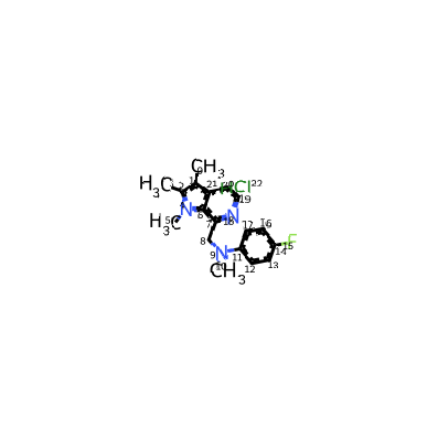 Cc1c(C)n(C)c2c(CN(C)c3ccc(F)cc3)nccc12.Cl